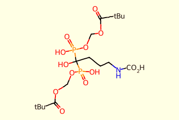 CC(C)(C)C(=O)OCOP(=O)(O)C(O)(CCCNC(=O)O)P(=O)(O)OCOC(=O)C(C)(C)C